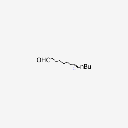 CCCC/C=C/CCCCCCC=O